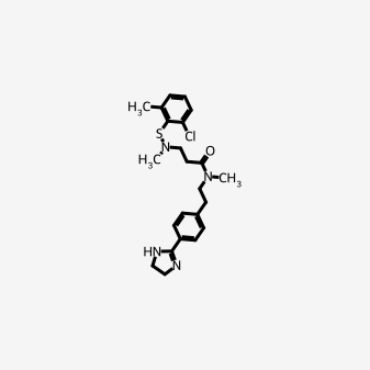 Cc1cccc(Cl)c1SN(C)CCC(=O)N(C)CCc1ccc(C2=NCCN2)cc1